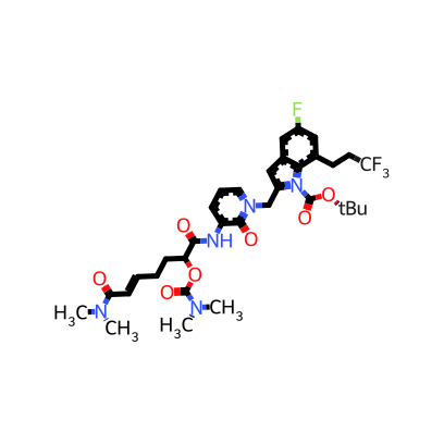 CN(C)C(=O)/C=C/CCC(OC(=O)N(C)C)C(=O)Nc1cccn(Cc2cc3cc(F)cc(CCC(F)(F)F)c3n2C(=O)OC(C)(C)C)c1=O